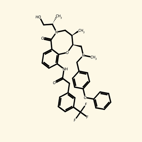 C[C@@H]1CN([C@@H](C)CO)C(=O)c2cccc(NC(=O)Cc3cccc(C(F)(F)F)c3)c2O[C@@H]1CN(C)Cc1ccc(Oc2ccccc2)cc1